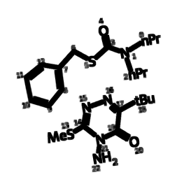 CCCN(CCC)C(=O)SCc1ccccc1.CSc1nnc(C(C)(C)C)c(=O)n1N